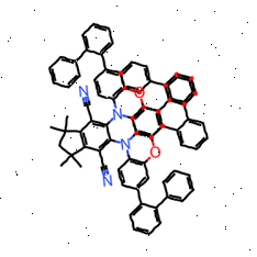 CC1(C)CC(C)(C)c2c(C#N)c(N3c4ccc(-c5ccccc5-c5ccccc5)cc4Oc4cc(-c5ccccc5-c5ccccc5)ccc43)c(N3c4ccc(-c5ccccc5-c5ccccc5)cc4Oc4cc(-c5ccccc5-c5ccccc5)ccc43)c(C#N)c21